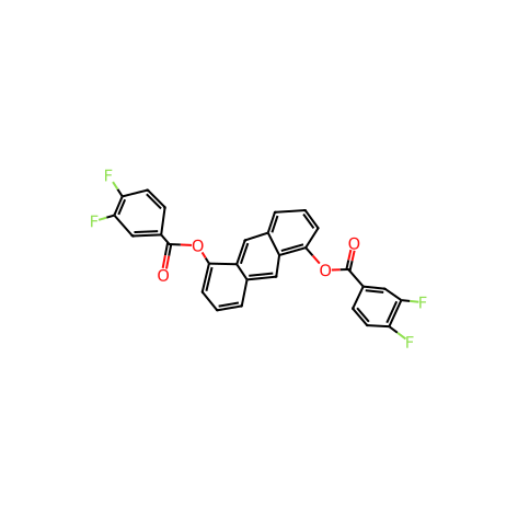 O=C(Oc1cccc2cc3c(OC(=O)c4ccc(F)c(F)c4)cccc3cc12)c1ccc(F)c(F)c1